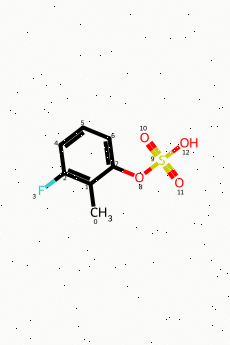 Cc1c(F)cccc1OS(=O)(=O)O